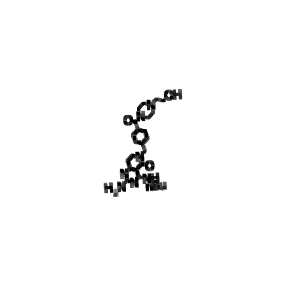 CCCCNc1nc(N)nc2ccn(Cc3ccc(C(=O)N4CCN(CCO)CC4)cc3)c(=O)c12